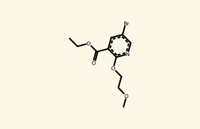 CCOC(=O)c1cc(Br)cnc1OCCOC